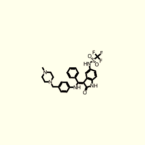 CN1CCN(Cc2ccc(N/C(=C3\C(=O)Nc4ccc(NS(=O)(=O)C(F)(F)F)cc43)c3ccccc3)cc2)CC1